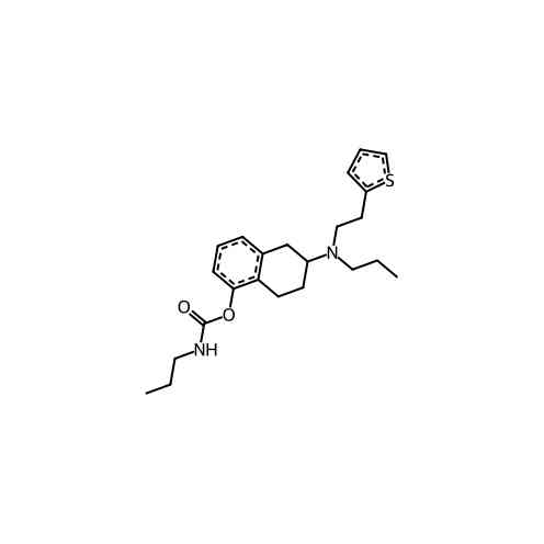 CCCNC(=O)Oc1cccc2c1CCC(N(CCC)CCc1cccs1)C2